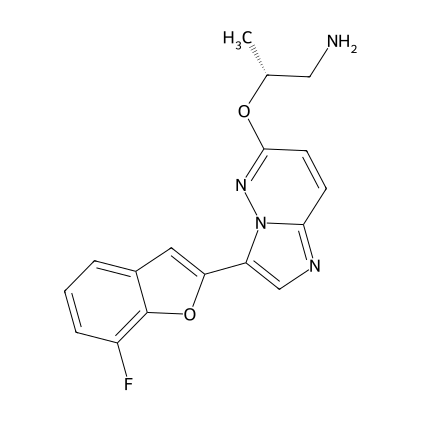 C[C@H](CN)Oc1ccc2ncc(-c3cc4cccc(F)c4o3)n2n1